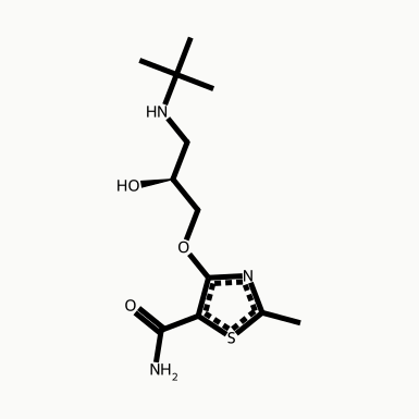 Cc1nc(OC[C@@H](O)CNC(C)(C)C)c(C(N)=O)s1